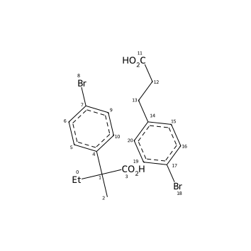 CCC(C)(C(=O)O)c1ccc(Br)cc1.O=C(O)CCc1ccc(Br)cc1